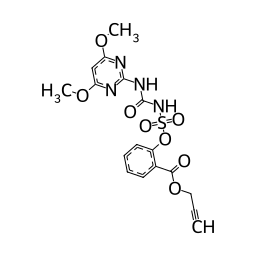 C#CCOC(=O)c1ccccc1OS(=O)(=O)NC(=O)Nc1nc(OC)cc(OC)n1